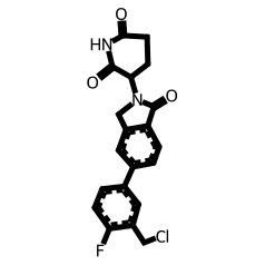 O=C1CCC(N2Cc3cc(-c4ccc(F)c(CCl)c4)ccc3C2=O)C(=O)N1